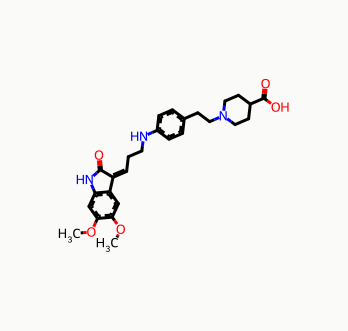 COc1cc2c(cc1OC)C(=CCCNc1ccc(CCN3CCC(C(=O)O)CC3)cc1)C(=O)N2